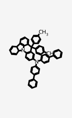 Cc1ccc(C2(c3ccc(C)cc3)c3cc(N(c4ccc(-c5ccccc5)cc4)c4ccc(-c5ccccc5)cc4)ccc3N3c4c(cccc42)C2C=CC=CC23)cc1